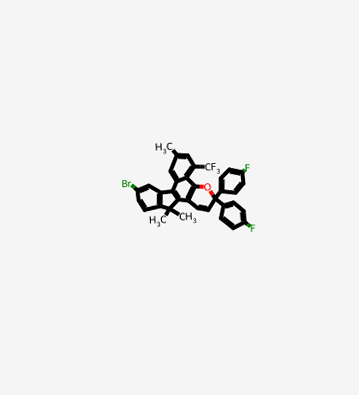 Cc1cc(C(F)(F)F)c2c3c(c4c(c2c1)-c1cc(Br)ccc1C4(C)C)C=CC(c1ccc(F)cc1)(c1ccc(F)cc1)O3